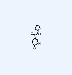 O=C(NN1CCCC1)c1ccc(=O)[nH]c1